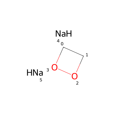 C1COO1.[NaH].[NaH]